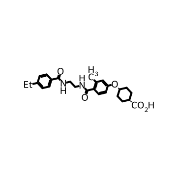 CCc1ccc(C(=O)NCCNC(=O)c2ccc(O[C@H]3CC[C@@H](C(=O)O)CC3)cc2C)cc1